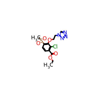 CCOC(=O)c1ccc(S(C)(=O)=O)c(OCCn2cnnn2)c1Cl